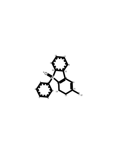 O=P1(c2ccccc2)C2=C(C=C(I)CC2)c2ccccc21